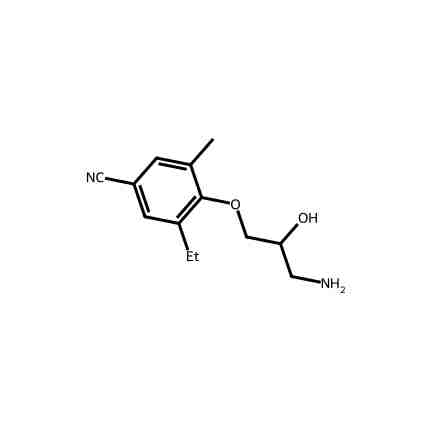 CCc1cc(C#N)cc(C)c1OCC(O)CN